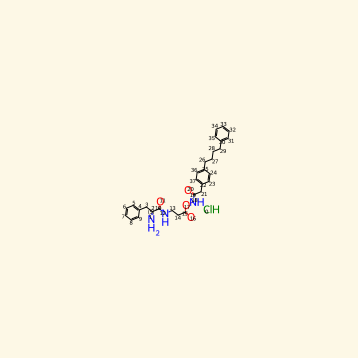 Cl.N[C@@H](Cc1ccccc1)C(=O)NCCC(=O)ONC(=O)Cc1ccc(CCCCc2ccccc2)cc1